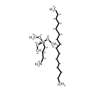 CCCCCCCCCCCCCCCC.CO[Si](CCCN)(OC)OC